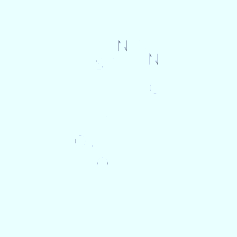 CCOC(=O)CC1CCc2sc3ncnc(Cl)c3c2C1